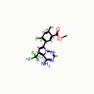 COC(=O)c1cc(-c2cc(C(F)(F)F)c3c(N)ncnn23)c(F)cc1C